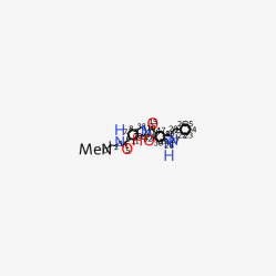 CNCCNC(=O)c1ccc2c(c1)CN(C(=O)c1cc3c(Cc4ccccc4)n[nH]c3cc1O)C2